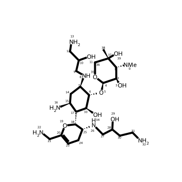 CN[C@@H]1[C@@H](O)[C@@H](O[C@H]2[C@H](NCC(O)CN)C[C@H](N)C([C@H]3OC(CN)=CC[C@H]3NCC(O)CCN)[C@@H]2O)OC[C@]1(C)O